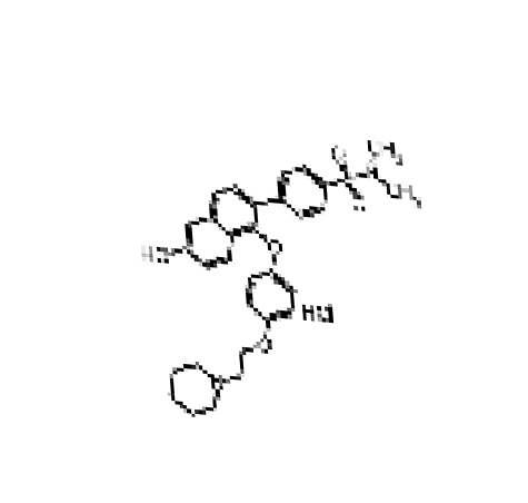 CN(C)S(=O)(=O)c1ccc(-c2ccc3cc(O)ccc3c2Oc2ccc(OCCN3CCCCC3)cc2)cc1.Cl